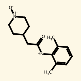 Cc1cccc(C)c1NC(=O)CC1CC[NH+]([O-])CC1